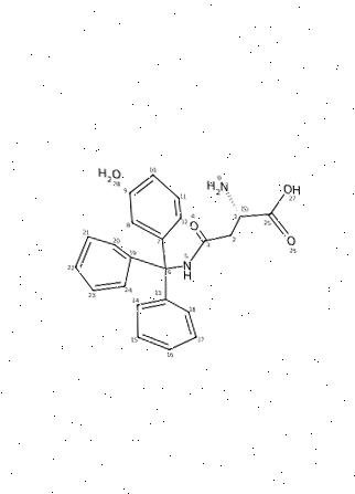 N[C@@H](CC(=O)NC(c1ccccc1)(c1ccccc1)c1ccccc1)C(=O)O.O